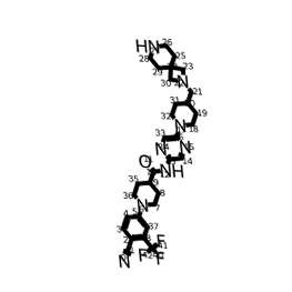 N#Cc1ccc(N2CCC(C(=O)Nc3cnc(N4CCC(CN5CC6(CCNCC6)C5)CC4)cn3)CC2)cc1C(F)(F)F